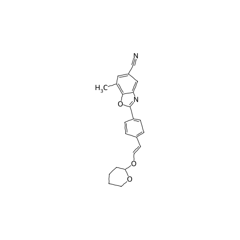 Cc1cc(C#N)cc2nc(-c3ccc(C=COC4CCCCO4)cc3)oc12